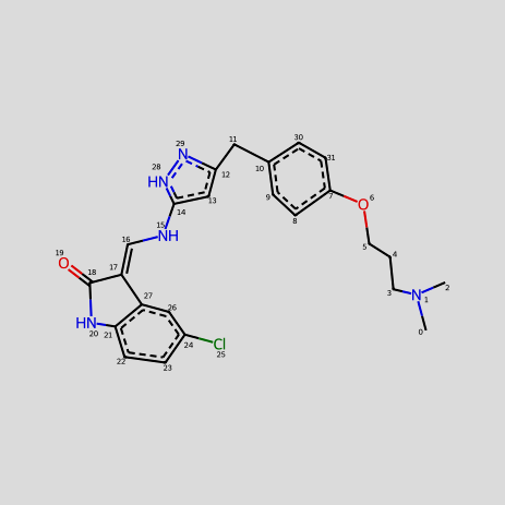 CN(C)CCCOc1ccc(Cc2cc(N/C=C3/C(=O)Nc4ccc(Cl)cc43)[nH]n2)cc1